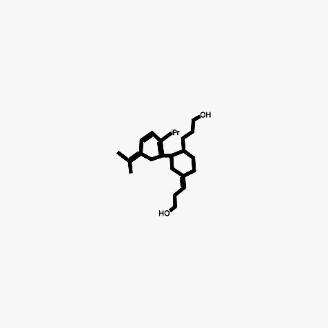 CC(C)=C1C=CC(C(C)C)=C(C2CC(=CCCO)CCC2CCCO)C1